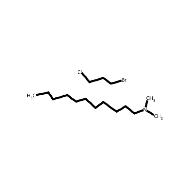 CCCCCCCCCCCN(C)C.ClCCCBr